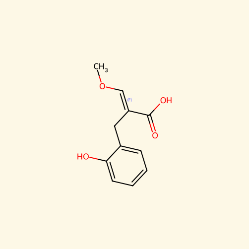 CO/C=C(\Cc1ccccc1O)C(=O)O